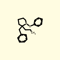 CCCC1(Cc2ccccc2)CCCCN1Oc1ccccc1